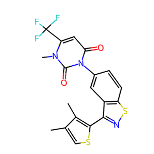 Cc1csc(-c2nsc3ccc(-n4c(=O)cc(C(F)(F)F)n(C)c4=O)cc23)c1C